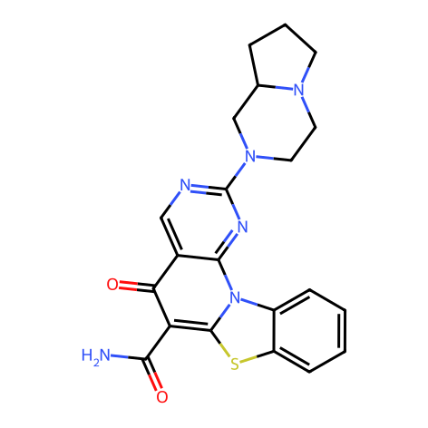 NC(=O)c1c(=O)c2cnc(N3CCN4CCCC4C3)nc2n2c1sc1ccccc12